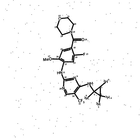 [2H]C1C([2H])([2H])C1([2H])Nc1nc(Nc2cc(F)c(C(=O)N3CCOCC3)cc2OC)ncc1C(F)(F)F